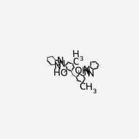 Cc1cc(Cc2cc(C)cc(-n3nc4ccccc4n3)c2O)c(O)c(-n2nc3c(n2)CCC=C3)c1